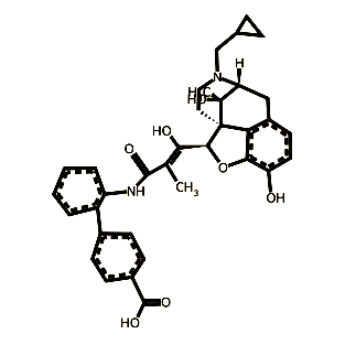 C/C(C(=O)Nc1ccccc1-c1ccc(C(=O)O)cc1)=C(/O)[C@@H]1Oc2c(O)ccc3c2[C@@]12CCN(CC1CC1)[C@H](C3)[C@@]2(C)O